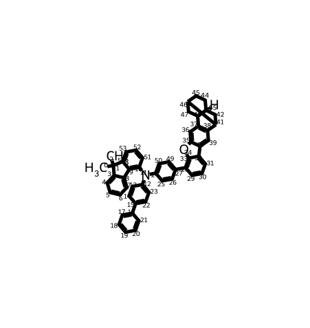 CC1(C)c2ccccc2-c2c(N(c3ccc(-c4ccccc4)cc3)c3ccc(-c4cccc5c4oc4cc6c(cc45)C4C[C@H]5CCC4CC65)cc3)cccc21